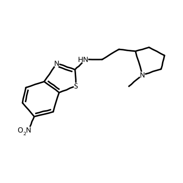 CN1CCCC1CCNc1nc2ccc([N+](=O)[O-])cc2s1